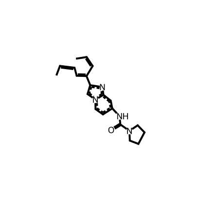 C\C=C/C=C(\C=C/C)c1cn2ccc(NC(=O)N3CCCC3)cc2n1